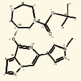 Cn1cc(-c2cn3nccc3c(O[C@@H]3COCCN(C(=O)OC(C)(C)C)C3)n2)cn1